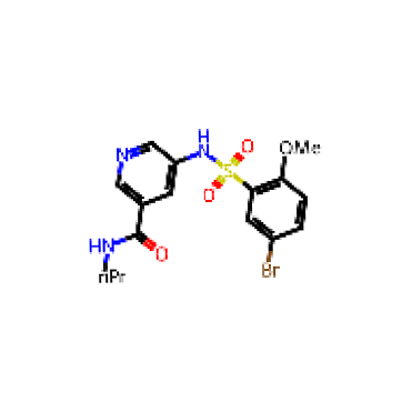 CCCNC(=O)c1cncc(NS(=O)(=O)c2cc(Br)ccc2OC)c1